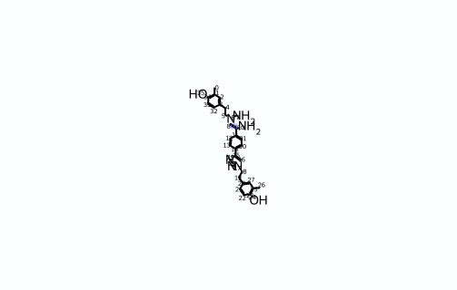 Cc1cc(CCN(N)/C=C(\N)c2ccc(-c3cn(CCc4ccc(O)c(C)c4)nn3)cc2)ccc1O